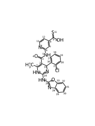 CC1=C(C(=O)Nc2cc(C(O)=S)ccn2)C(c2ccccc2Cl)N=C(Nc2nc3ccccc3o2)N1